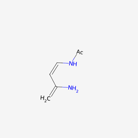 C=C(N)/C=C\NC(C)=O